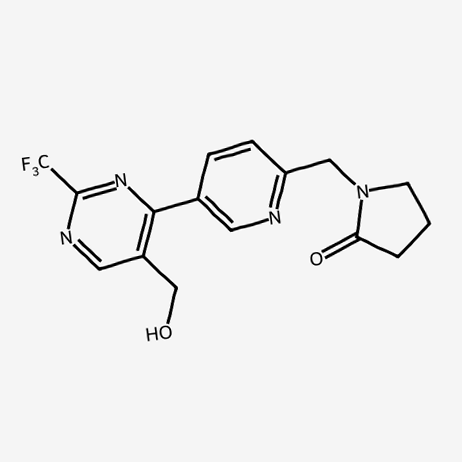 O=C1CCCN1Cc1ccc(-c2nc(C(F)(F)F)ncc2CO)cn1